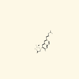 CC(CC=Cc1ccc2cc(O)c(N3CC(=O)NS3(=O)=O)cc2c1)C(=O)O